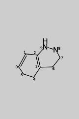 C1=CC2=C(CC1)CC[N]N2